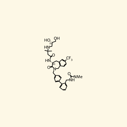 CNC(=O)NCc1ccccc1-c1ccc(CN2Cc3ccc(C(F)(F)F)cc3C[C@@H](NC(=O)CC(C)(C)NC[C@H](O)CO)C2=O)cc1